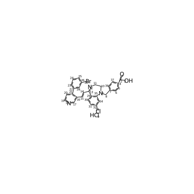 Cl.O=C(O)c1ccc(CN2CCN=C(C=Cc3cnccc3-c3cccc(Br)c3)c3ccc(Cl)cc32)cc1